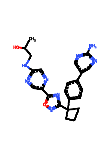 CC(O)CNc1cnc(-c2nc(C3(c4ccc(-c5cnc(N)nc5)cc4)CCC3)no2)cn1